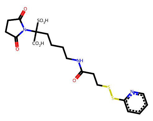 O=C(CCSSc1ccccn1)NCCCCC(C(=O)O)(N1C(=O)CCC1=O)S(=O)(=O)O